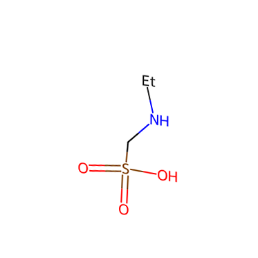 CCNCS(=O)(=O)O